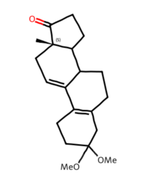 COC1(OC)CCC2=C(CCC3C2=CC[C@]2(C)C(=O)CCC32)C1